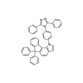 c1ccc(-c2nnc(-c3ccccc3)n2-c2ccc(-n3ccc4ccc5c(c43)-c3ccccc3C5(c3ccccc3)c3ccccc3)cc2)cc1